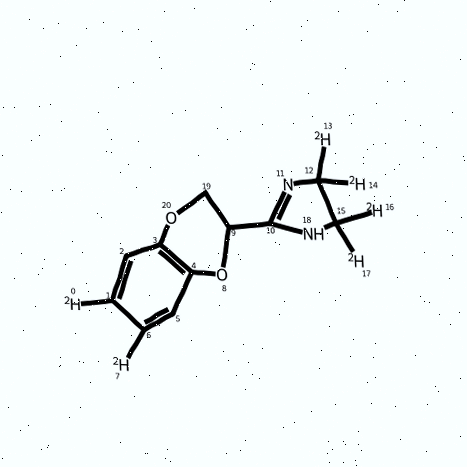 [2H]c1cc2c(cc1[2H])OC(C1=NC([2H])([2H])C([2H])([2H])N1)CO2